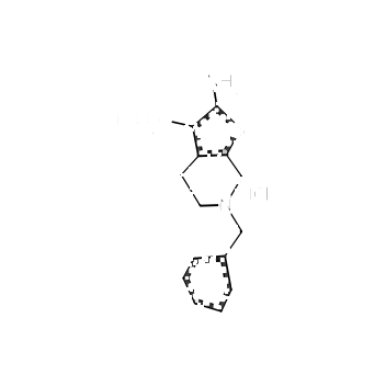 CCOC(=O)c1c(N)sc2c1CCN(Cc1ccccc1)C2.Cl